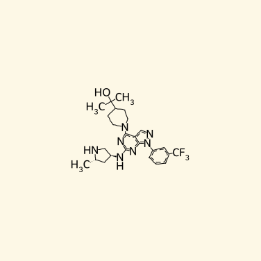 C[C@H]1C[C@H](Nc2nc(N3CCC(C(C)(C)O)CC3)c3cnn(-c4cccc(C(F)(F)F)c4)c3n2)CN1